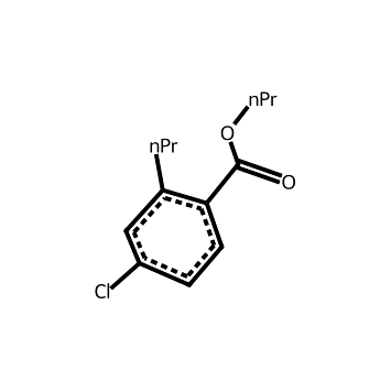 CCCOC(=O)c1ccc(Cl)cc1CCC